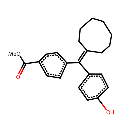 COC(=O)c1ccc(C(=C2CCCCCCC2)c2ccc(O)cc2)cc1